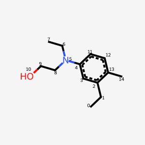 CCc1cc(N(CC)CCO)ccc1C